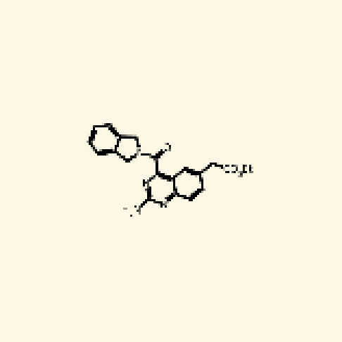 CCOC(=O)Cc1ccc2nc(N)nc(C(=O)N3Cc4ccccc4C3)c2c1